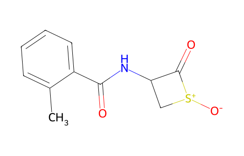 Cc1ccccc1C(=O)NC1C[S+]([O-])C1=O